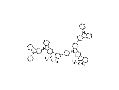 CC1(C)c2ccc(-c3ccc(-n4c5ccc(-c6ccc7c(c6)c6ccccc6n7-c6ccccc6)cc5c5cc6c(cc54)C(C)(C)c4ccccc4-6)cc3)cc2-c2cc3c4ccccc4n(-c4ccc5c(c4)c4ccccc4n5-c4ccccc4)c3cc21